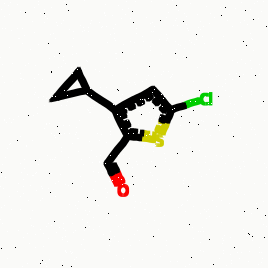 O=Cc1sc(Cl)cc1C1CC1